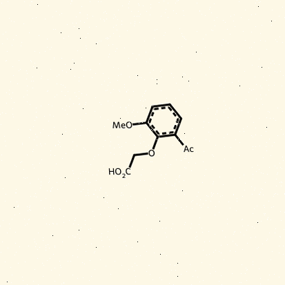 COc1cccc(C(C)=O)c1OCC(=O)O